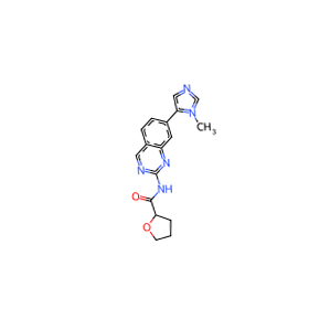 Cn1cncc1-c1ccc2cnc(NC(=O)C3CCCO3)nc2c1